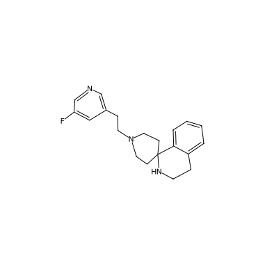 Fc1cncc(CCN2CCC3(CC2)NCCc2ccccc23)c1